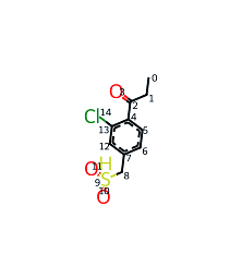 CCC(=O)c1ccc(C[SH](=O)=O)cc1Cl